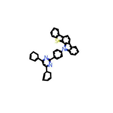 C1=CCCC(c2cc(C3C=CC=CC3)nc(-c3ccc(-n4c5ccccc5c5ccc6c7ccccc7sc6c54)cc3)n2)=C1